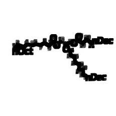 CCCCCCCC/C=C\CCCCCCCC(=O)OC[C@H](COC(=O)CCCCCCCCCCCCC)OCCCCCCCCCCCCCCCCCC